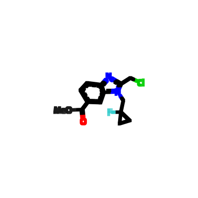 COC(=O)c1ccc2nc(CCl)n(CC3(F)CC3)c2c1